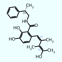 CC(=C/c1ccc(O)c(O)c1C(=O)NC[C@@H](C)c1ccccc1)/C(C)=C(\C)O